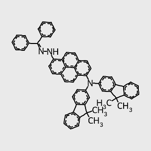 CC1(C)c2ccccc2-c2ccc(N(c3ccc4c(c3)C(C)(C)c3ccccc3-4)c3ccc4ccc5c(NN=C(c6ccccc6)c6ccccc6)ccc6ccc3c4c65)cc21